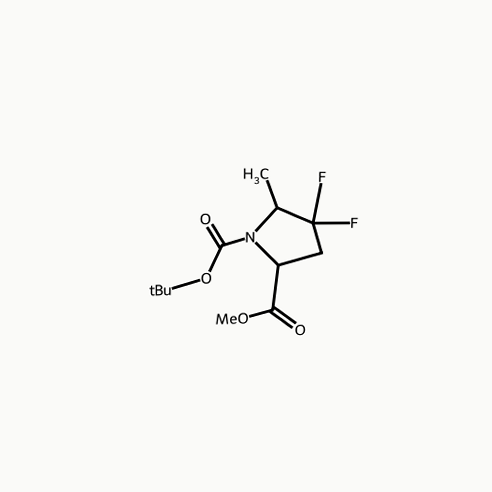 COC(=O)C1CC(F)(F)C(C)N1C(=O)OC(C)(C)C